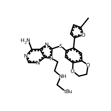 Cc1ccc(-c2cc3c(cc2Sc2nc4c(N)ncnc4n2CCNCC(C)(C)C)OCCO3)o1